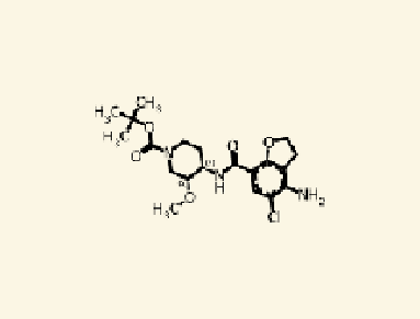 CO[C@H]1CN(C(=O)OC(C)(C)C)CC[C@H]1NC(=O)c1cc(Cl)c(N)c2c1OCC2